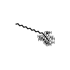 CCCCCCCCCCCCCCC(O)(O)C(O)(OO)C(O)(N(O)O)C(O)(O)OO